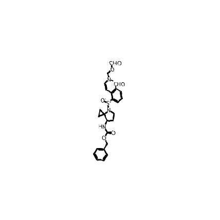 CN(/C=C\c1c(C=O)cccc1[S+]([O-])N1CCC(NC(=O)OCc2ccccc2)C12CC2)COC=O